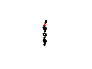 C=CCCOCc1ccc(CC[C@H]2CC[C@H](C=Cc3ccc(CC=C)cc3)CC2)cc1